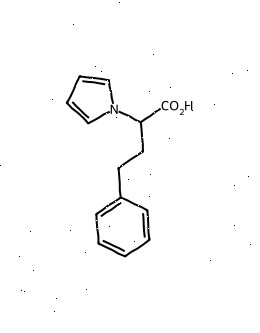 O=C(O)C(CCc1ccccc1)n1cccc1